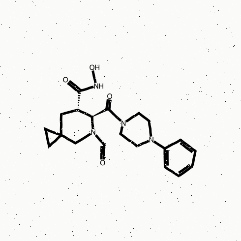 O=CN1CC2(CC2)C[C@H](C(=O)NO)[C@H]1C(=O)N1CCN(c2ccccc2)CC1